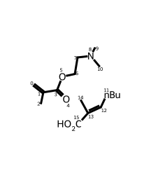 C=C(C)C(=O)OCCN(C)C.CCCCC=C(C)C(=O)O